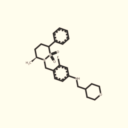 C[C@H]1CCC(c2ccccc2)S(=O)(=O)N1Cc1ccc(NCC2CCOCC2)cc1F